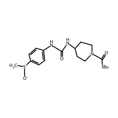 C[S+]([O-])c1ccc(NC(=O)NC2CCN(C(=O)C(C)(C)C)CC2)cc1